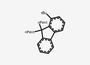 CCCCCC1(CCCCC)c2ccccc2-c2cccc(C(C)(C)C)c21